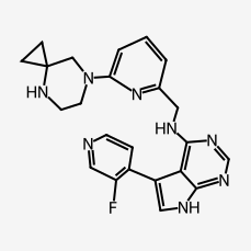 Fc1cnccc1-c1c[nH]c2ncnc(NCc3cccc(N4CCNC5(CC5)C4)n3)c12